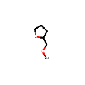 CC[CH]OCC1CCCO1